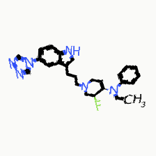 CCN(c1ccccc1)[C@H]1CCN(CCCc2c[nH]c3ccc(-n4cnnc4)cc23)C[C@@H]1F